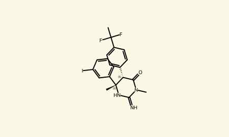 CN1C(=N)N[C@](C)(c2cccc(I)c2)[C@H](c2ccc(C(C)(F)F)cc2)C1=O